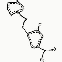 CCC(CC)c1ccc(OCc2ccccn2)c(Cl)c1